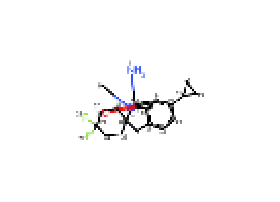 CN1C(=O)C2(N=C1N)c1cc(C3CC3)ccc1CC21CCC(F)(F)CC1